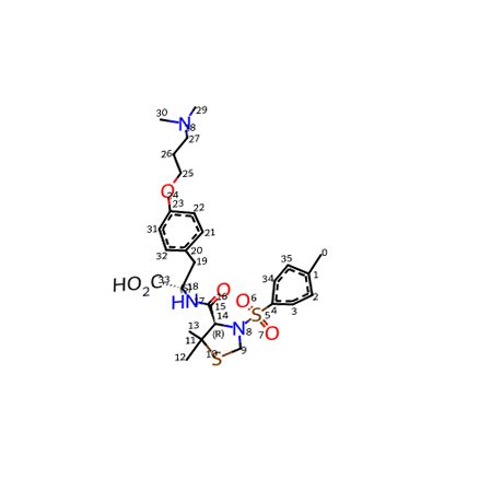 Cc1ccc(S(=O)(=O)N2CSC(C)(C)[C@H]2C(=O)N[C@@H](Cc2ccc(OCCCN(C)C)cc2)C(=O)O)cc1